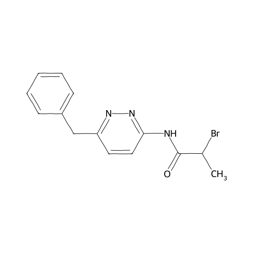 CC(Br)C(=O)Nc1ccc(Cc2ccccc2)nn1